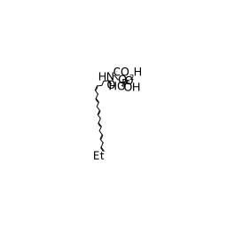 CCC=CCC=CCC=CCC=CCC=CC/C=C\CCC(=O)N[C@@H](COP(=O)(O)O)C(=O)O